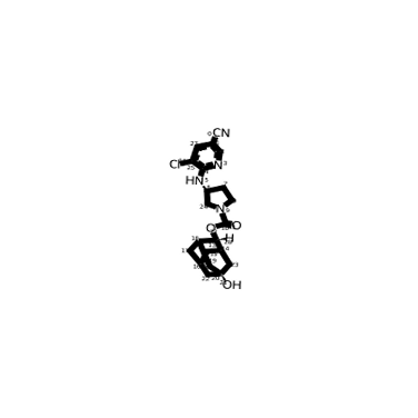 N#Cc1cnc(N[C@@H]2CCN(C(=O)O[C@H]3C4CC5CC3C[C@](O)(C5)C4)C2)c(Cl)c1